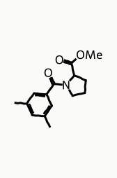 COC(=O)C1CCCN1C(=O)c1cc(C)cc(C)c1